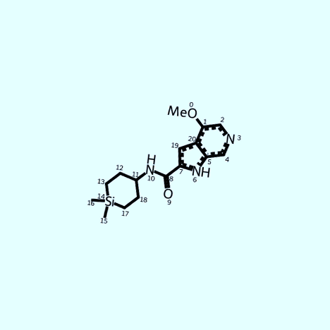 COc1cncc2[nH]c(C(=O)NC3CC[Si](C)(C)CC3)cc12